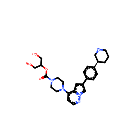 O=C(OC(CO)CO)N1CCN(c2ccnn3cc(-c4ccc([C@@H]5CCCNC5)cc4)cc23)CC1